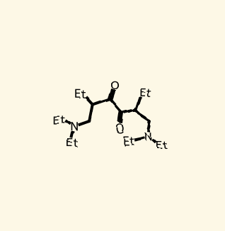 CCC(CN(CC)CC)C(=O)C(=O)C(CC)CN(CC)CC